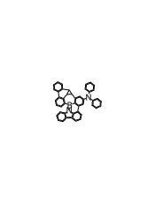 c1ccc(N(c2ccccc2)c2cc3c4c(c2)C2C5c6ccccc6-c6cccc(c6C52)B4n2c4ccccc4c4cccc-3c42)cc1